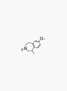 COc1ccc2c(c1)CCN(I)CC2C